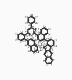 CC1(C)c2cc3ccccc3cc2-c2cccc(-c3ccc(-c4nc(-c5ccccc5)cc(-c5ccccc5-c5ccc6ccccc6c5)n4)c4ccccc34)c21